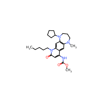 CCCCCn1c(=O)cc(NC(=O)OC)c2cc3c(cc21)N(C1CCCC1)CCCN3C